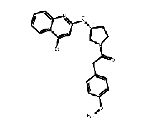 CCc1cc(N[C@H]2CCN(C(=O)Cc3ccc(OC(F)(F)F)cc3)C2)nc2ccccc12